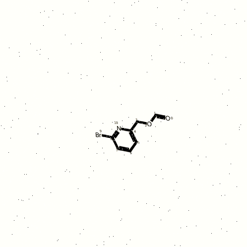 O=COCc1cccc(Br)n1